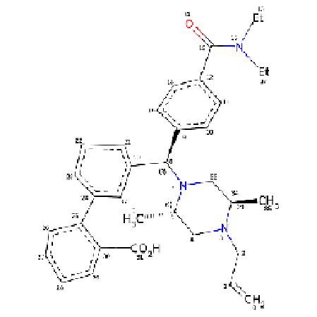 C=CCN1C[C@H](C)N([C@H](c2ccc(C(=O)N(CC)CC)cc2)c2cccc(-c3ccccc3C(=O)O)c2)C[C@H]1C